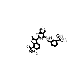 Cc1sc2c(C(N)=O)cccc2c1-c1nc2c(c(NCc3cccc(B(O)O)c3)n1)COC2